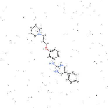 [CH]1NC(Nc2cccc(OCCCN3CCCCC3)c2)=NC=C1c1ccccc1